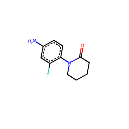 Nc1ccc(N2CCCCC2=O)c(F)c1